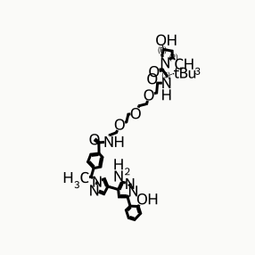 CC(c1ccc(C(=O)NCCOCCOCCOCC(=O)N[C@H](C(=O)N2C[C@H](O)C[C@H]2C)C(C)(C)C)cc1)n1cc(-c2cc(-c3ccccc3O)nnc2N)cn1